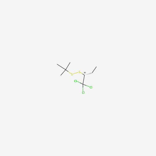 CC[C@@H](SSC(C)(C)C)C(Cl)(Cl)Cl